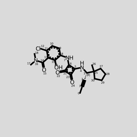 CC#C[C@H](Nc1c(Nc2ccc(Cl)c(C(=O)N(C)C)c2O)c(=O)c1=O)C1(C)CCCC1